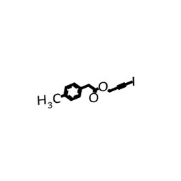 Cc1ccc(CC(=O)OCC#CI)cc1